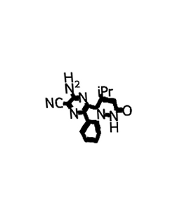 CC(C)c1cc(=O)[nH]nc1-c1nc(N)c(C#N)nc1-c1ccccc1